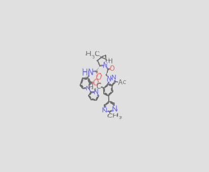 CC(=O)c1nn(CC(=O)N2[C@H](C(=O)Nc3cccn(-c4ccccn4)c3=O)C[C@@]3(C)C[C@@H]23)c2c(C)cc(-c3cnc(C)nc3)cc12